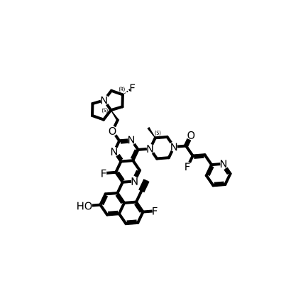 C#Cc1c(F)ccc2cc(O)cc(-c3ncc4c(N5CCN(C(=O)C(F)=Cc6ccccn6)C[C@@H]5C)nc(OC[C@@]56CCCN5C[C@H](F)C6)nc4c3F)c12